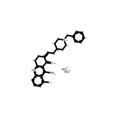 Cl.Cl.Nc1c2c(nc3cccc(F)c13)CCC(=CCC1CCN(Cc3ccccc3)CC1)C2=O